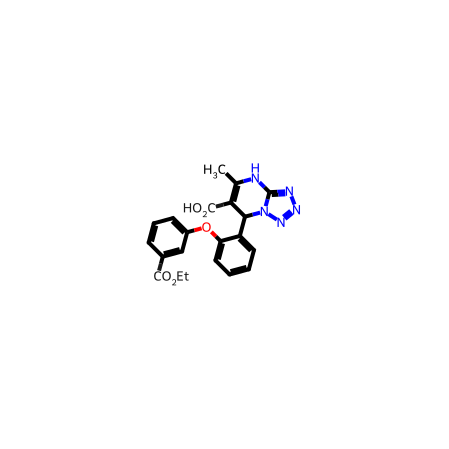 CCOC(=O)c1cccc(Oc2ccccc2C2C(C(=O)O)=C(C)Nc3nnnn32)c1